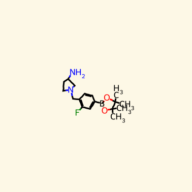 CC1(C)OB(c2ccc(CN3CCC(N)C3)c(F)c2)OC1(C)C